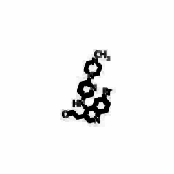 CN1CCN(c2ccc(Nc3c(CC=O)cnc4ccc(Br)cc34)cn2)CC1